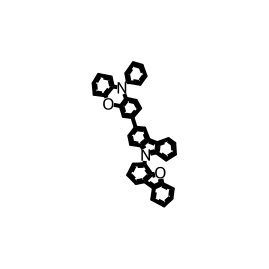 c1ccc(N2c3ccccc3Oc3cc(-c4ccc5c(c4)c4ccccc4n5-c4cccc5c4oc4ccccc45)ccc32)cc1